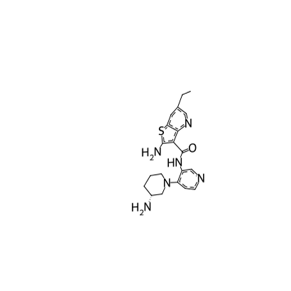 CCc1cnc2c(C(=O)Nc3cnccc3N3CCC[C@@H](N)C3)c(N)sc2c1